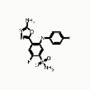 Nc1nnc(-c2cc(F)c(S(N)(=O)=O)cc2Nc2ccc(I)cc2)o1